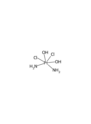 [NH2][Pt]([NH2])([OH])([OH])([Cl])[Cl]